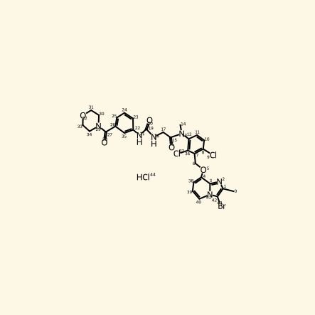 Cc1nc2c(OCc3c(Cl)ccc(N(C)C(=O)CNC(=O)Nc4cccc(C(=O)N5CCOCC5)c4)c3Cl)cccn2c1Br.Cl